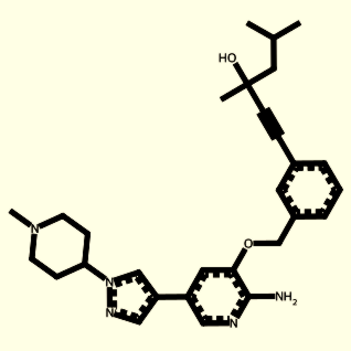 CC(C)CC(C)(O)C#Cc1cccc(COc2cc(-c3cnn(C4CCN(C)CC4)c3)cnc2N)c1